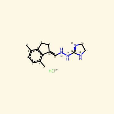 Cc1ccc(C)c2c1CCC2=CNNC1=NCCN1.Cl